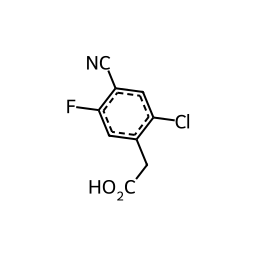 N#Cc1cc(Cl)c(CC(=O)O)cc1F